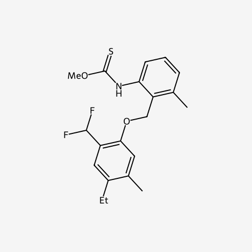 CCc1cc(C(F)F)c(OCc2c(C)cccc2NC(=S)OC)cc1C